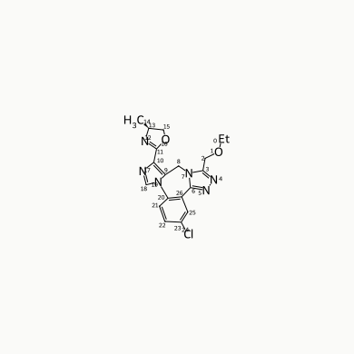 CCOCc1nnc2n1Cc1c(C3=N[C@@H](C)CO3)ncn1-c1ccc(Cl)cc1-2